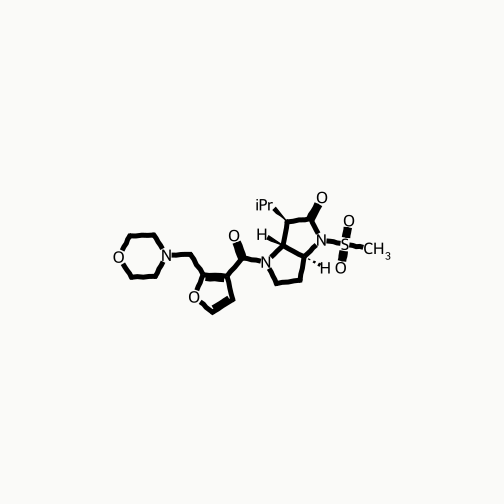 CC(C)[C@H]1C(=O)N(S(C)(=O)=O)[C@H]2CCN(C(=O)c3ccoc3CN3CCOCC3)[C@H]12